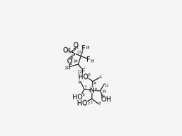 CC(O)[N+](C(C)O)(C(C)O)C(C)O.O=S(=O)([O-])C(F)(F)C(F)F